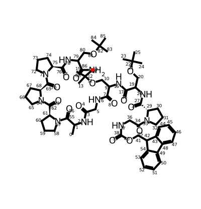 CC(NC(=O)CNC(=O)C(COC(C)(C)C)NC(=O)C(COC(C)(C)C)NC(=O)[C@@H]1CCCN1C(=O)CNC(=O)OCC1c2ccccc2-c2ccccc21)C(=O)N1CCC[C@H]1C(=O)N1CCC[C@H]1C(=O)N1CCC[C@H]1C(=O)NC(COC(C)(C)C)C(N)=O